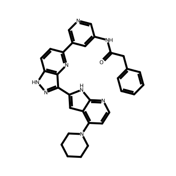 O=C(Cc1ccccc1)Nc1cncc(-c2ccc3[nH]nc(-c4cc5c(N6CCCCC6)ccnc5[nH]4)c3n2)c1